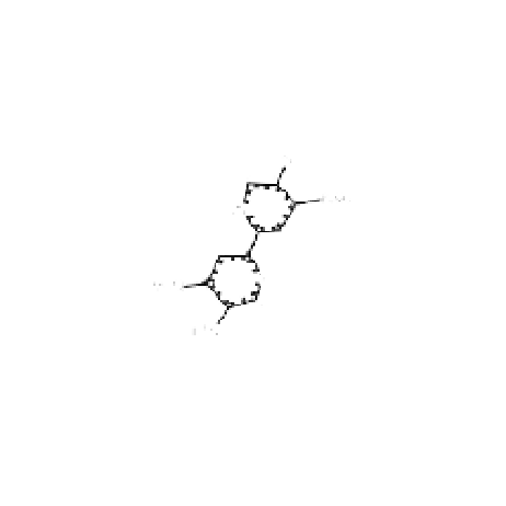 CNc1cc(-c2cc(NC)c(N)cn2)ncc1N